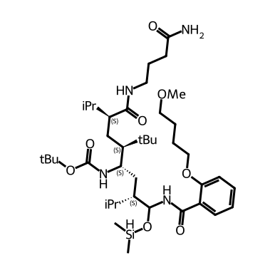 COCCCCOc1ccccc1C(=O)NC(O[SiH](C)C)[C@@H](C[C@H](NC(=O)OC(C)(C)C)[C@@H](C[C@H](C(=O)NCCCC(N)=O)C(C)C)C(C)(C)C)C(C)C